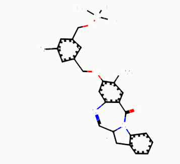 COc1cc2c(cc1OCc1cc(CO[Si](C)(C)C(C)(C)C)cc([N+](=O)[O-])c1)N=C[C@@H]1Cc3ccccc3N1C2=O